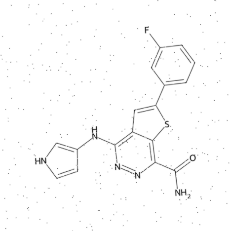 NC(=O)c1nnc(Nc2cc[nH]c2)c2cc(-c3cccc(F)c3)sc12